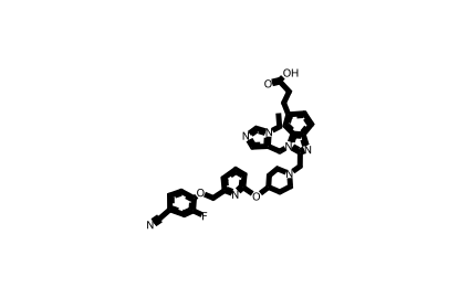 CCn1cncc1Cn1c(CN2CCC(Oc3cccc(COc4ccc(C#N)cc4F)n3)CC2)nc2ccc(CCC(=O)O)cc21